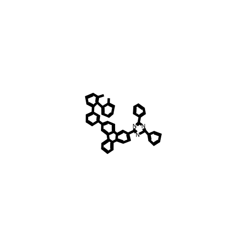 Cc1ccccc1-c1c(C)cccc1-c1cccc(-c2ccc3c(c2)c2ccccc2c2ccc(-c4nc(-c5ccccc5)nc(-c5ccccc5)n4)cc23)c1